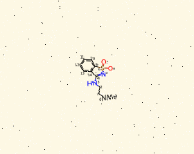 CNCCNC1=NS(=O)(=O)c2ccccc21